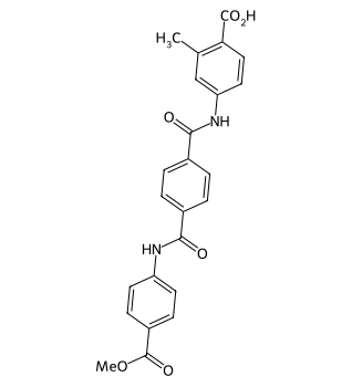 COC(=O)c1ccc(NC(=O)c2ccc(C(=O)Nc3ccc(C(=O)O)c(C)c3)cc2)cc1